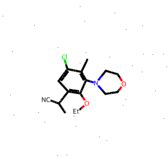 CCOc1c(C(C)C#N)cc(Cl)c(C)c1N1CCOCC1